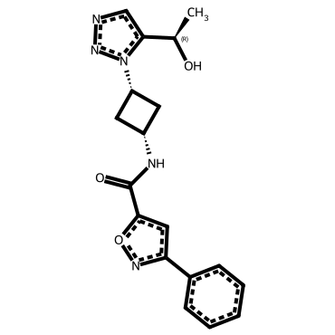 C[C@@H](O)c1cnnn1[C@H]1C[C@@H](NC(=O)c2cc(-c3ccccc3)no2)C1